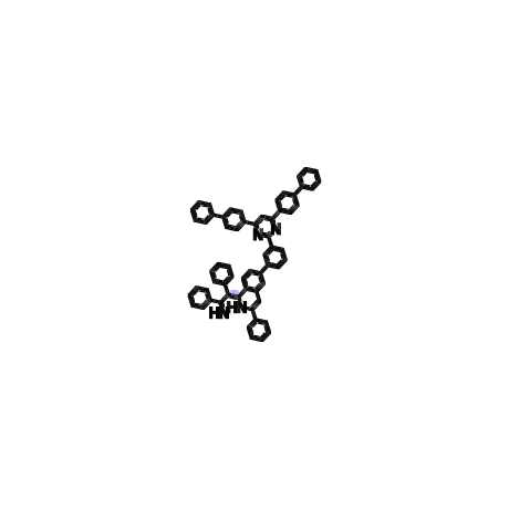 N=C(/C(=C1\NC(c2ccccc2)=Cc2cc(-c3cccc(-c4nc(-c5ccc(-c6ccccc6)cc5)cc(-c5ccc(-c6ccccc6)cc5)n4)c3)ccc21)c1ccccc1)c1ccccc1